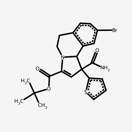 CC(C)(C)OC(=O)C1=CC(C(N)=O)(c2cccs2)C2c3cc(Br)ccc3CCN12